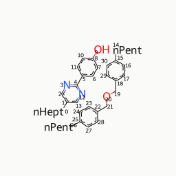 CCCCCCCc1cnc(-c2ccc(O)cc2)nc1.CCCCCc1ccc(COCc2ccc(CCCCC)cc2)cc1